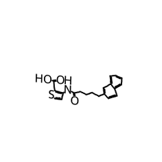 O=C(CCCCc1ccc2ccccc2c1)Nc1ccsc1C(=O)O